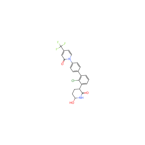 O=C1NC(O)CCC1c1cccc(-c2ccc(-n3ccc(C(F)(F)F)cc3=O)cc2)c1Cl